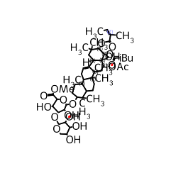 C/C=C(/C)C(=O)O[C@H]1[C@H](OC(=O)C(C)CC)[C@]2(CO)[C@H](OC(C)=O)C[C@]3(C)C(=CCC4[C@@]5(C)CCC(OC6OC(C(=O)OC)C(O)C(OC7OCC(O)C(O)C7O)C6O)C(C)(C)C5CC[C@]43C)[C@@H]2CC1(C)C